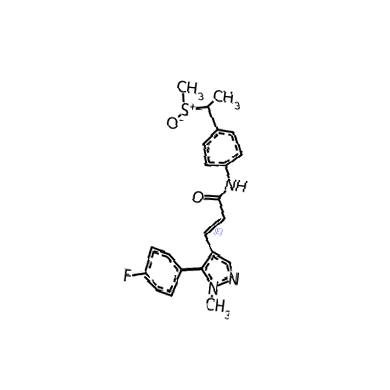 CC(c1ccc(NC(=O)/C=C/c2cnn(C)c2-c2ccc(F)cc2)cc1)[S+](C)[O-]